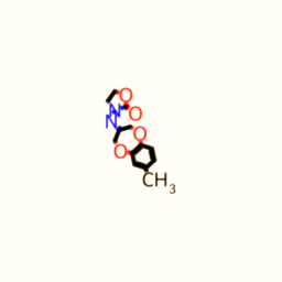 Cc1ccc2c(c1)OC/C(=N/N1CCOC1=O)CO2